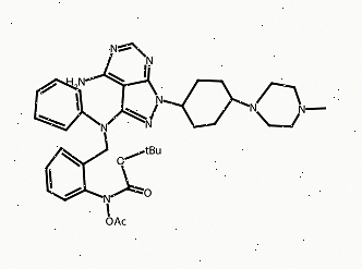 CC(=O)ON(C(=O)OC(C)(C)C)c1ccccc1CN(c1ccccc1)c1nn(C2CCC(N3CCN(C)CC3)CC2)c2ncnc(N)c12